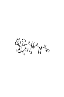 CC(=O)C(C)(C)CNCNC=O